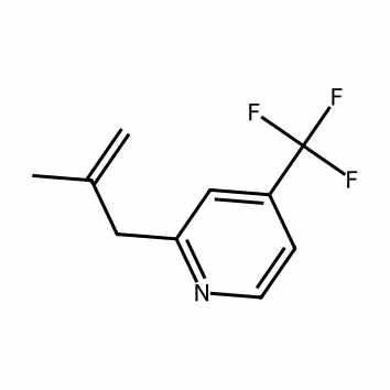 C=C(C)Cc1cc(C(F)(F)F)ccn1